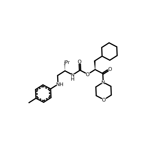 Cc1ccc(NC[C@@H](NC(=O)O[C@@H](CC2CCCCC2)C(=O)N2CCOCC2)C(C)C)cc1